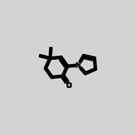 CC1(C)C=C(N2C=CCC2)C(=O)CC1